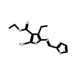 CCOC(=O)c1c(N)sc(/N=C/c2cccs2)c1CC